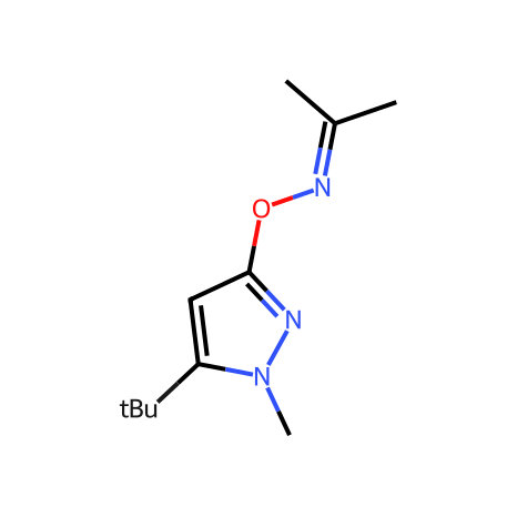 CC(C)=NOc1cc(C(C)(C)C)n(C)n1